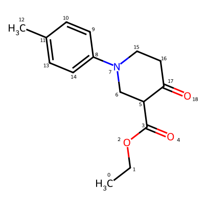 CCOC(=O)C1CN(c2ccc(C)cc2)CCC1=O